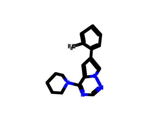 FC(F)(F)c1ccccc1-c1cc2c(N3CCCCC3)ncnn2c1